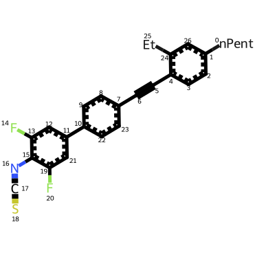 CCCCCc1ccc(C#Cc2ccc(-c3cc(F)c(N=C=S)c(F)c3)cc2)c(CC)c1